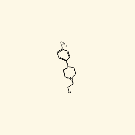 Cc1ccc(N2CCN(CCCl)CC2)cc1